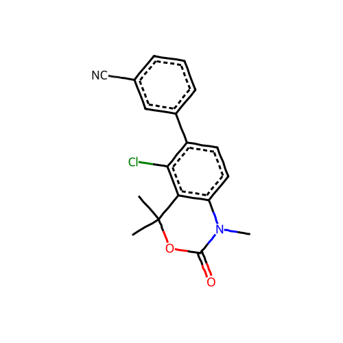 CN1C(=O)OC(C)(C)c2c1ccc(-c1cccc(C#N)c1)c2Cl